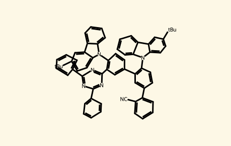 CC(C)(C)c1ccc2c(c1)c1ccccc1n2-c1ccc(-c2ccccc2C#N)cc1-c1ccc(-n2c3ccccc3c3cc(C(C)(C)C)ccc32)c(-c2nc(-c3ccccc3)nc(-c3ccccc3)n2)c1